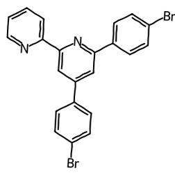 Brc1ccc(-c2cc(-c3ccc(Br)cc3)nc(-c3ccccn3)c2)cc1